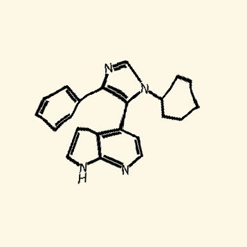 c1ccc(-c2ncn(C3CCCCC3)c2-c2ccnc3[nH]ccc23)cc1